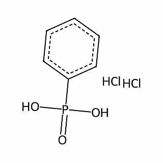 Cl.Cl.O=P(O)(O)c1ccccc1